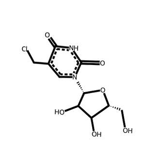 O=c1[nH]c(=O)n([C@@H]2O[C@H](CO)C(O)C2O)cc1CCl